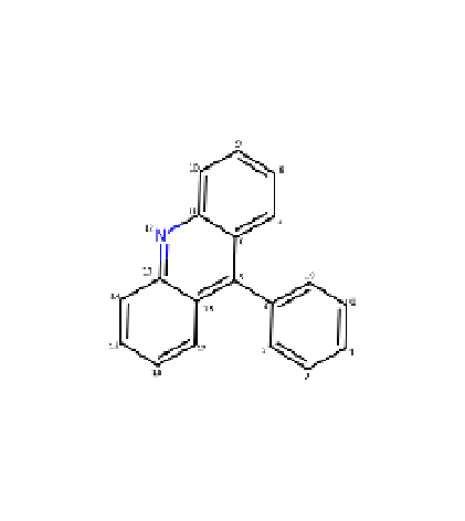 [c]1cccc(-c2c3ccccc3nc3ccccc23)c1